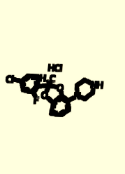 CC1(c2ccc(Cl)cc2F)Oc2cccc(N3CCNCC3)c2O1.Cl